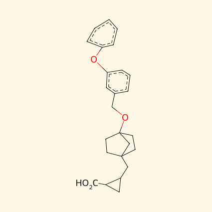 O=C(O)C1CC1CC12CCC(OCc3cccc(Oc4ccccc4)c3)(CC1)C2